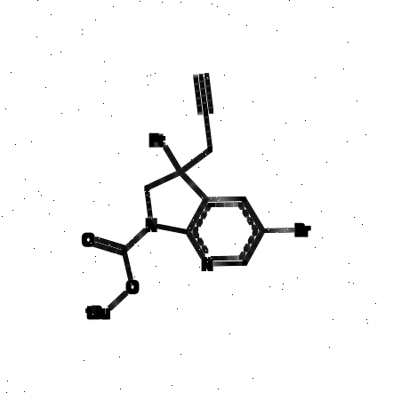 C#CCC1(CC)CN(C(=O)OC(C)(C)C)c2ncc(Br)cc21